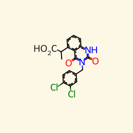 CC(C(=O)O)c1cccc2[nH]c(=O)n(Cc3ccc(Cl)c(Cl)c3)c(=O)c12